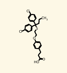 CCCC(SCCOc1ccc(CCC(=O)O)cc1)(c1ccc(Cl)cc1)c1ccc(Cl)cc1